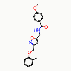 COc1ccc(C(=O)NCc2cc(COc3ccccc3C)no2)cc1